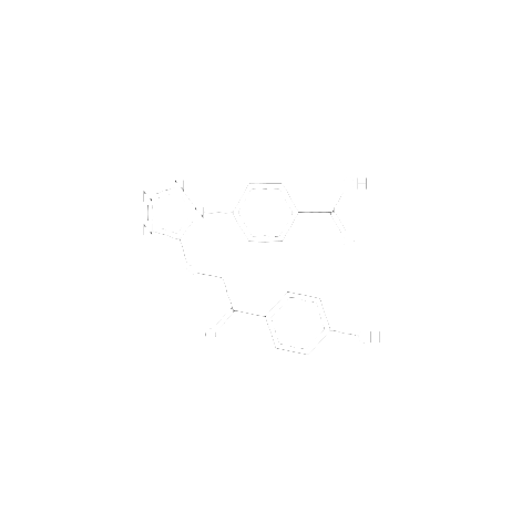 Cc1ccc(C(=O)CSc2nnnn2-c2ccc(C(=O)O)cc2)cc1